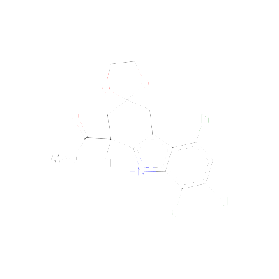 COC(=O)C1(C)CC2(Cc3c1[nH]c1c(Cl)c(Cl)cc(Br)c31)OCCO2